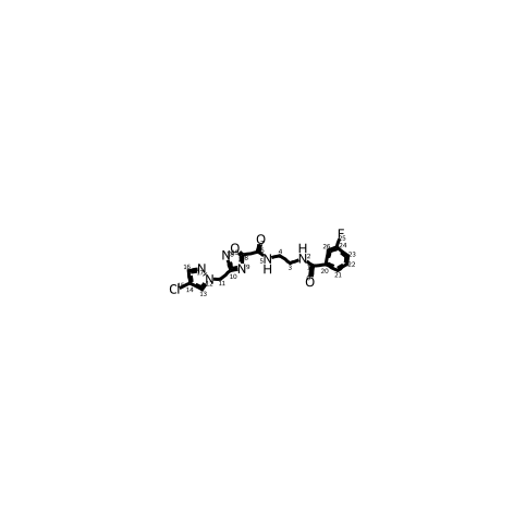 O=C(NCCNC(=O)c1nc(Cn2cc(Cl)cn2)no1)c1cccc(F)c1